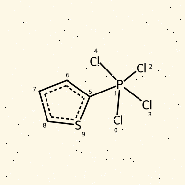 ClP(Cl)(Cl)(Cl)c1cccs1